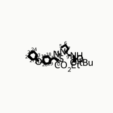 CCOC(=O)c1sc(N2CCC[C@H]2CNC(=O)OC(C)(C)C)nc1-c1ccc(Oc2ccccc2)cc1